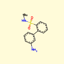 CC(C)(C)NS(=O)(=O)c1ccccc1-c1cccc(N)c1